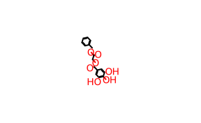 O=C(COC(=O)c1cc(O)c(O)c(O)c1)OCc1ccccc1